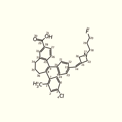 Cc1cc(Cl)ccc1C1=C(c2ccc(C=C3CN(CCCF)C3)cc2)c2ccc(C(=O)O)cc2CCC1